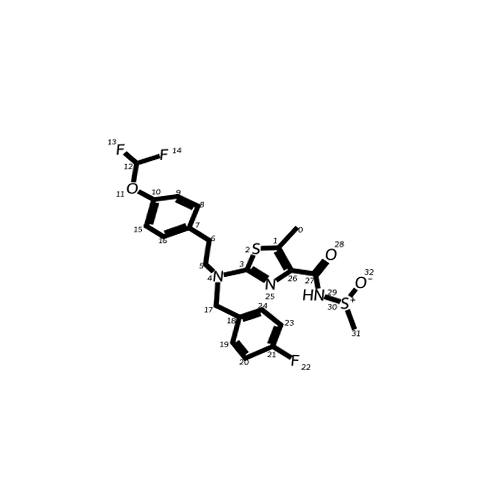 Cc1sc(N(CCc2ccc(OC(F)F)cc2)Cc2ccc(F)cc2)nc1C(=O)N[S+](C)[O-]